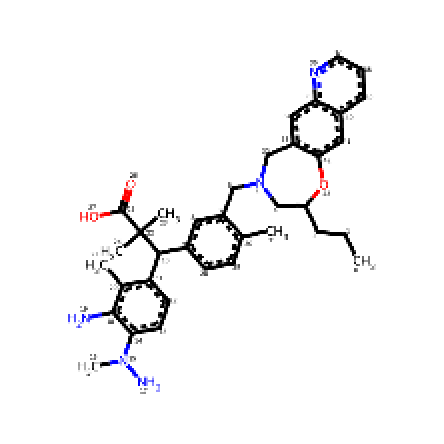 CCCC1CN(Cc2cc(C(c3ccc(N(C)N)c(N)c3C)C(C)(C)C(=O)O)ccc2C)Cc2cc3ncccc3cc2O1